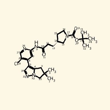 CC1(C)Cc2c(-c3cc(NC(=O)CC[C@@H]4CCN(C(=O)OC(C)(C)C)C4)ncc3Cl)cnn2C1